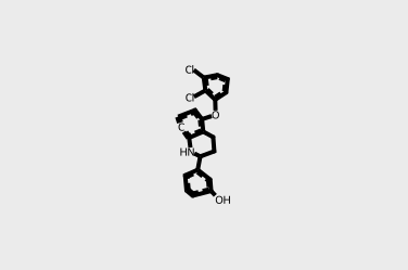 Oc1cccc(C2CCc3c(cccc3Oc3cccc(Cl)c3Cl)N2)c1